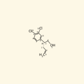 C=CC[C@@H](CO)c1ccc(Cl)c(Cl)c1